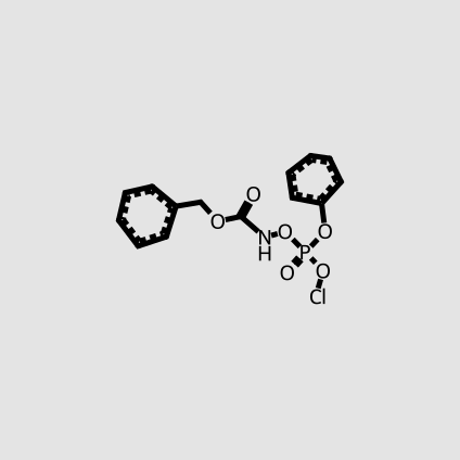 O=C(NOP(=O)(OCl)Oc1ccccc1)OCc1ccccc1